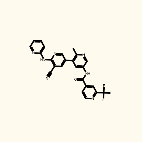 Cc1ncc(NC(=O)c2ccnc(C(F)(F)F)c2)cc1-c1cnc(Nc2ccccn2)c(C#N)c1